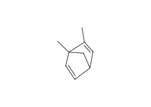 CC1=CC2C=CC1(C)C2